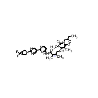 CCC(=O)Cn1c(=O)c(C)c(NC/C(C)=C(/C)C(=O)Nc2ccnc(-c3cnc(N4CC5C(C4)C5(F)F)nc3)n2)n(C)c1=O